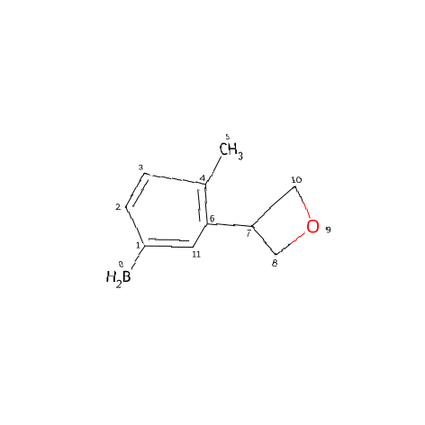 Bc1ccc(C)c(C2COC2)c1